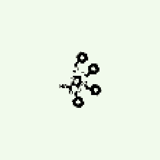 O=C(O)[C@@H]1O[C@H](COCc2ccccc2)[C@@H](OCc2ccccc2)[C@H](OCc2ccccc2)[C@H]1OCc1ccccc1